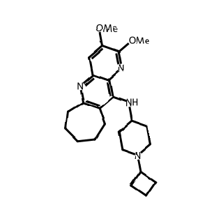 COc1cc2nc3c(c(NC4CCN(C5CCC5)CC4)c2nc1OC)CCCCC3